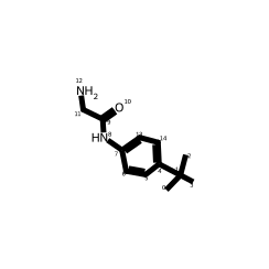 CC(C)(C)c1ccc(NC(=O)CN)cc1